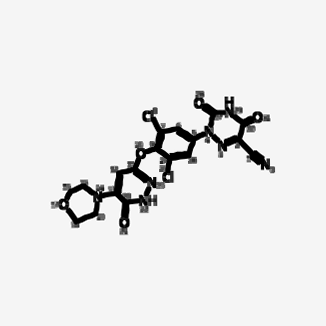 N#Cc1nn(-c2cc(Cl)c(Oc3cc(N4CCOCC4)c(=O)[nH]n3)c(Cl)c2)c(=O)[nH]c1=O